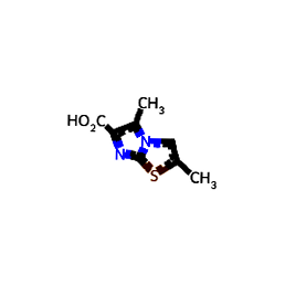 Cc1cn2c(C)c(C(=O)O)nc2s1